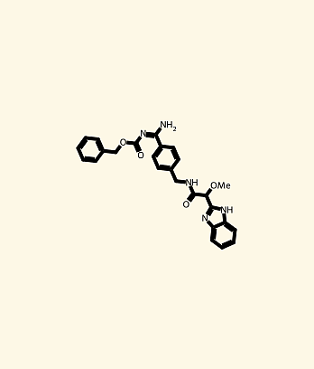 COC(C(=O)NCc1ccc(/C(N)=N\C(=O)OCc2ccccc2)cc1)c1nc2ccccc2[nH]1